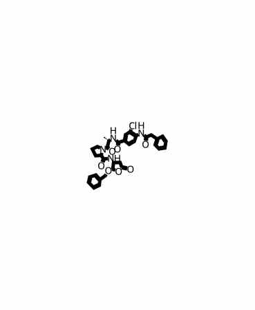 C[C@H](NC(=O)c1ccc(NC(=O)Cc2ccccc2)c(Cl)c1)C(=O)N1CCCC1C(=O)N[C@H]1CC(=O)OC1OCc1ccccc1